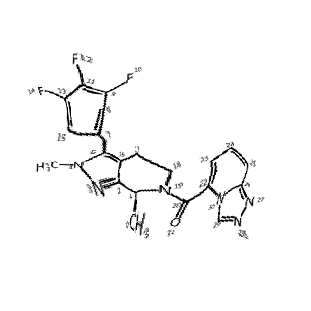 C[C@H]1c2nn(C)c(-c3cc(F)c(F)c(F)c3)c2CCN1C(=O)c1cccc2nncn12